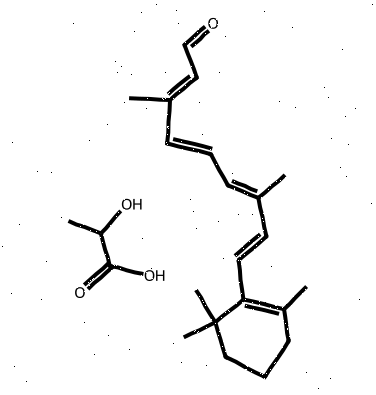 CC(C=CC=C(C)C=CC1=C(C)CCCC1(C)C)=CC=O.CC(O)C(=O)O